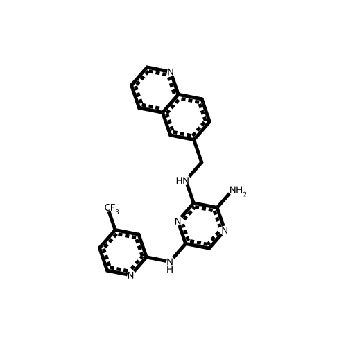 Nc1ncc(Nc2cc(C(F)(F)F)ccn2)nc1NCc1ccc2ncccc2c1